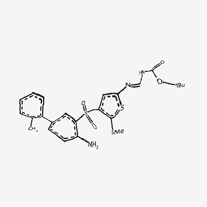 CSc1sc(N=CNC(=O)OC(C)(C)C)cc1S(=O)(=O)c1cc(-c2ccccc2C)ccc1N